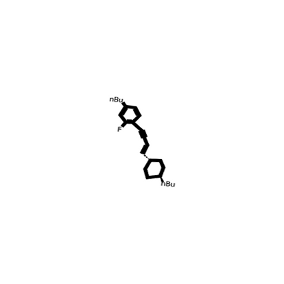 CCCCc1ccc(C#CC=C[C@H]2CC[C@H](CCCC)CC2)c(F)c1